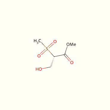 COC(=O)[C@H](CO)S(C)(=O)=O